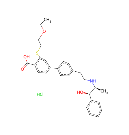 CCOCCSc1cc(-c2ccc(CCN[C@@H](C)[C@H](O)c3ccccc3)cc2)ccc1C(=O)O.Cl